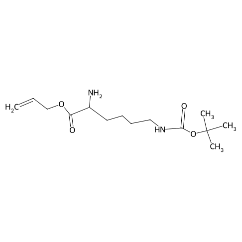 C=CCOC(=O)C(N)CCCCNC(=O)OC(C)(C)C